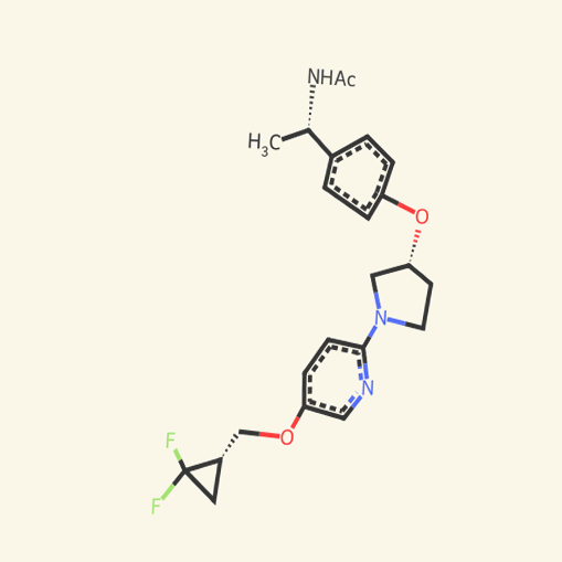 CC(=O)N[C@@H](C)c1ccc(O[C@@H]2CCN(c3ccc(OC[C@@H]4CC4(F)F)cn3)C2)cc1